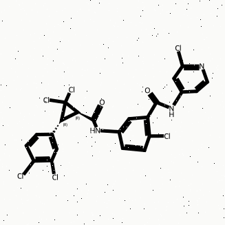 O=C(Nc1ccnc(Cl)c1)c1cc(NC(=O)[C@H]2[C@H](c3ccc(Cl)c(Cl)c3)C2(Cl)Cl)ccc1Cl